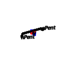 CCCCC/C=C\C/C=C\CCCCCCCCN(CCCCCCCC/C=C\C/C=C\CCCCC)OC(=O)CN(C)C